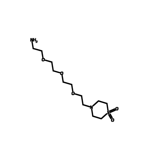 NCCOCCOCCOCCN1CCS(=O)(=O)CC1